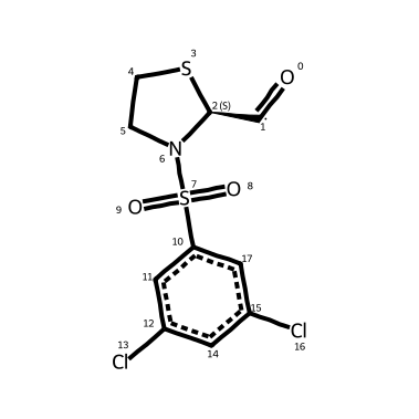 O=[C][C@@H]1SCCN1S(=O)(=O)c1cc(Cl)cc(Cl)c1